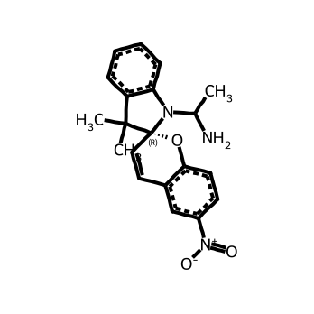 CC(N)N1c2ccccc2C(C)(C)[C@]12C=Cc1cc([N+](=O)[O-])ccc1O2